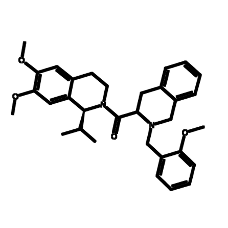 COc1ccccc1CN1Cc2ccccc2CC1C(=O)N1CCc2cc(OC)c(OC)cc2[C@@H]1C(C)C